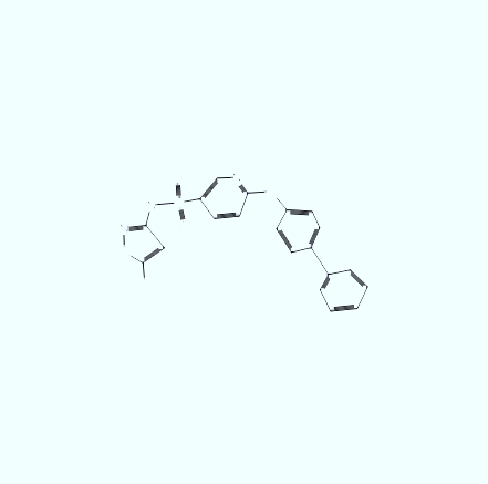 Cc1cc(NS(=O)(=O)c2ccc(Oc3ccc(-c4ccccc4)cc3)nc2)no1